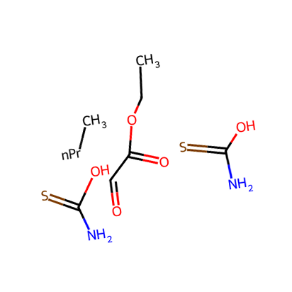 CCCC.CCOC(=O)C=O.NC(O)=S.NC(O)=S